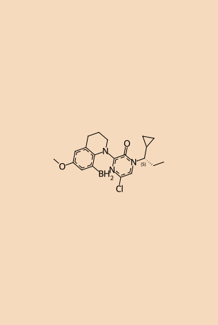 Bc1cc(OC)cc2c1N(c1nc(Cl)cn([C@@H](CC)C3CC3)c1=O)CCC2